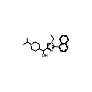 CCn1cc(C(O)C2CCN(C(C)C)CC2)nc1-c1cccc2ccccc12